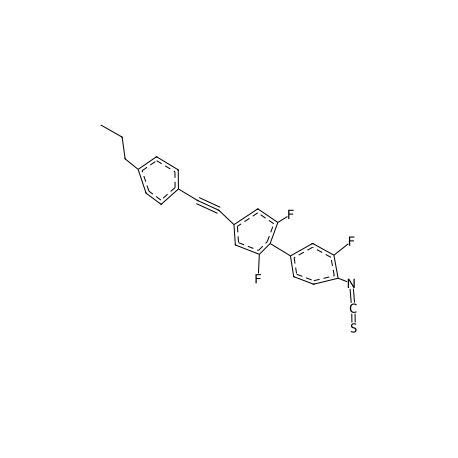 CCCc1ccc(C#Cc2cc(F)c(-c3ccc(N=C=S)c(F)c3)c(F)c2)cc1